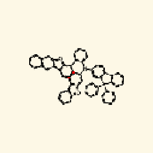 c1ccc(C2(c3ccccc3)c3ccccc3-c3ccc(N(c4ccc5c(c4)oc4ccccc45)c4ccccc4-c4cccc5c4oc4cc6ccccc6cc45)cc32)cc1